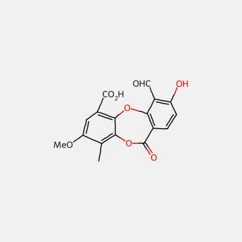 COc1cc(C(=O)O)c2c(c1C)OC(=O)c1ccc(O)c(C=O)c1O2